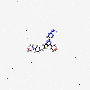 Nc1ncc(-c2nc(N3CCOCC3)c3sc(CN4CCC(N5CCOCC5)CC4)cc3n2)cn1